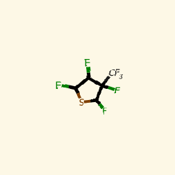 FC1SC(F)C(F)(C(F)(F)F)C1F